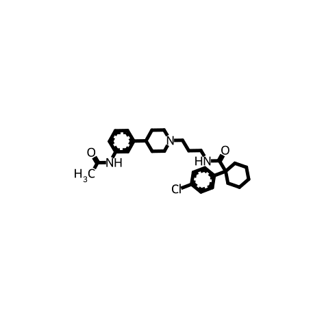 CC(=O)Nc1cccc(C2CCN(CCCNC(=O)C3(c4ccc(Cl)cc4)CCCCC3)CC2)c1